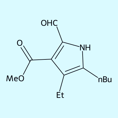 CCCCc1[nH]c(C=O)c(C(=O)OC)c1CC